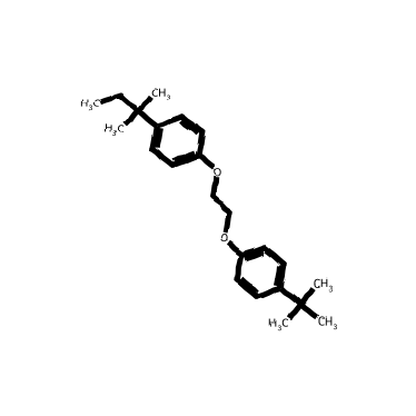 CCC(C)(C)c1ccc(OCCOc2ccc(C(C)(C)C)cc2)cc1